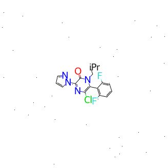 CC(C)Cn1c(-c2c(F)cccc2F)c(Cl)nc(-n2cccn2)c1=O